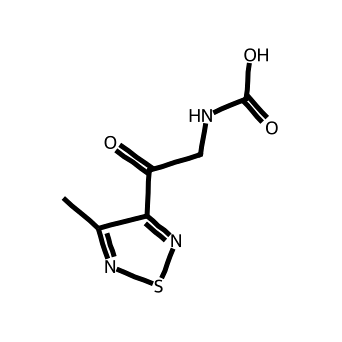 Cc1nsnc1C(=O)CNC(=O)O